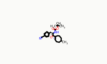 CC1CC/C=C(/C(=O)[C@@H](Cc2ccc(C#N)cc2)NC(=O)OC(C)(C)C)CCC1